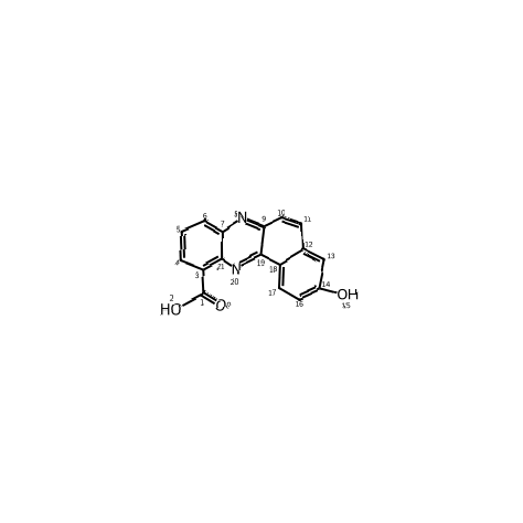 O=C(O)c1cccc2nc3ccc4cc(O)ccc4c3nc12